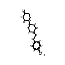 O=C1CCC(C2CCC(CCc3ccc(C(F)(F)F)cc3)CC2)CC1